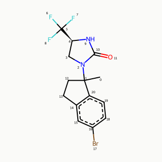 CC1(N2C[C@@H](C(F)(F)F)NC2=O)CCc2cc(Br)ccc21